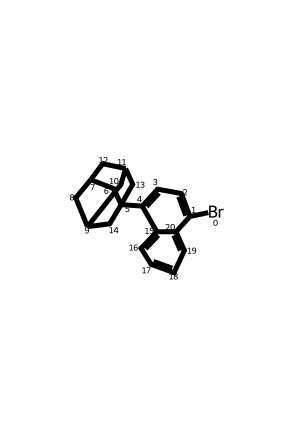 Brc1ccc(C23CC4CC(CC(C4)C2)C3)c2ccccc12